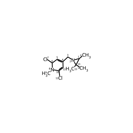 CC1N(CC2=CC(Cl)N(C)C(Cl)=C2)C1(C)C